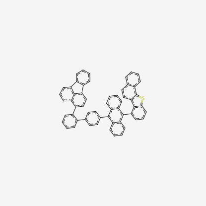 c1ccc(-c2ccc3c4c(cccc24)-c2ccccc2-3)c(-c2ccc(-c3c4ccccc4c(-c4cccc5sc6c7ccccc7ccc6c45)c4ccccc34)cc2)c1